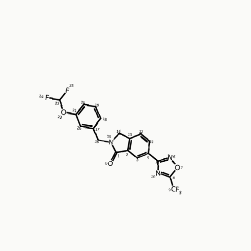 O=C1c2cc(-c3noc(C(F)(F)F)n3)ccc2CN1Cc1cccc(OC(F)F)c1